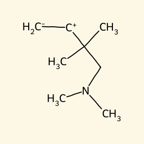 [CH2-][CH+]C(C)(C)CN(C)C